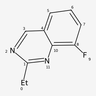 CCc1ncc2cccc(F)c2n1